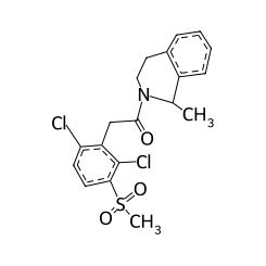 CC1c2ccccc2CCN1C(=O)Cc1c(Cl)ccc(S(C)(=O)=O)c1Cl